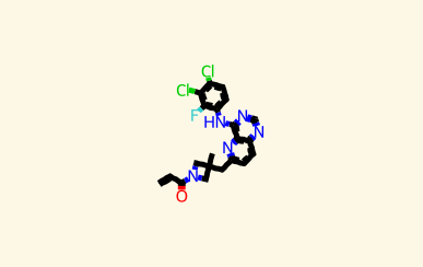 C=CC(=O)N1CC(C)(Cc2ccc3ncnc(Nc4ccc(Cl)c(Cl)c4F)c3n2)C1